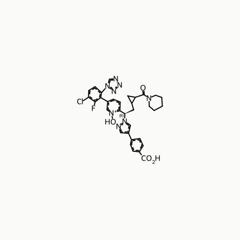 O=C(O)c1ccc(-c2cnn([C@H](CC3CC3C(=O)N3CCCCC3)c3ccc(-c4c(-n5cnnn5)ccc(Cl)c4F)c[n+]3O)c2)cc1